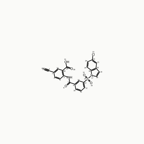 N#Cc1ccc(NC(=O)c2cccc(S(=O)(=O)n3ccc4cc(Cl)ccc43)c2)c(C(=O)O)c1